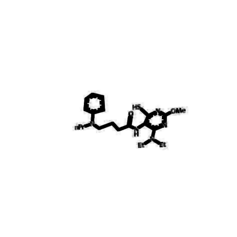 CCCN(CCCC(=O)Nc1c(S)nc(OC)nc1N(CC)CC)c1ccccc1